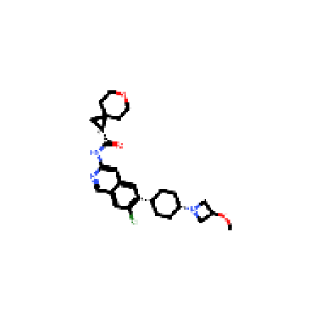 COC1CN([C@H]2CC[C@@H](c3cc4cc(NC(=O)[C@@H]5CC56CCOCC6)ncc4cc3Cl)CC2)C1